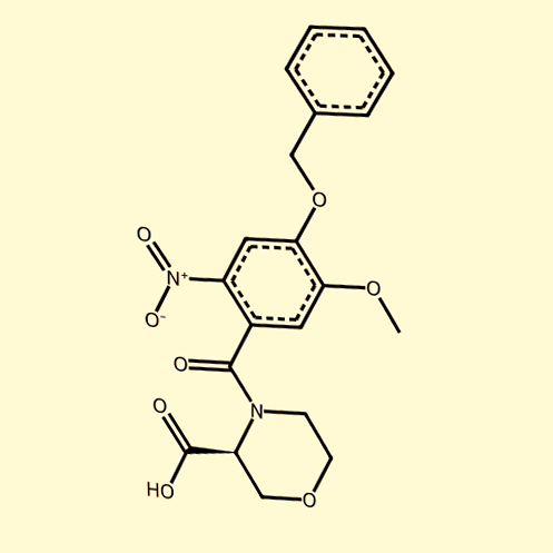 COc1cc(C(=O)N2CCOC[C@H]2C(=O)O)c([N+](=O)[O-])cc1OCc1ccccc1